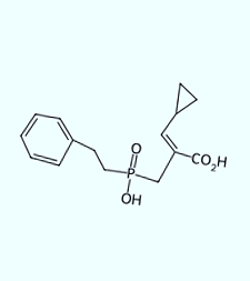 O=C(O)C(=CC1CC1)CP(=O)(O)CCc1ccccc1